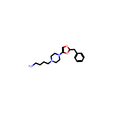 NCCCCN1CCN(C2=COC(Cc3ccccc3)O2)CC1